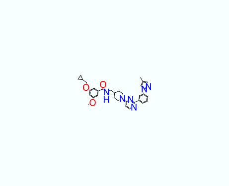 COc1cc(OCC2CC2)cc(C(=O)NCC2CCN(c3ccnc(-c4cccc(-n5cc(C)cn5)c4)n3)CC2)c1